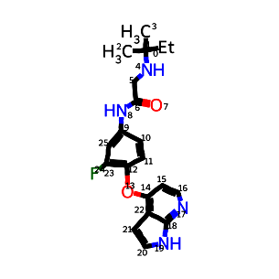 CCC(C)(C)NCC(=O)Nc1ccc(Oc2ccnc3[nH]ccc23)c(F)c1